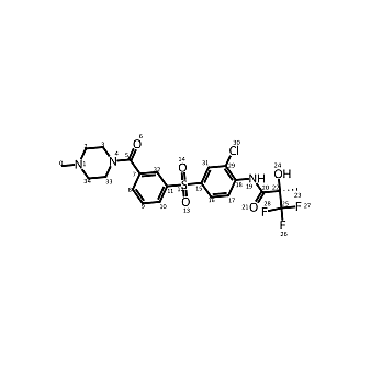 CN1CCN(C(=O)c2cccc(S(=O)(=O)c3ccc(NC(=O)[C@@](C)(O)C(F)(F)F)c(Cl)c3)c2)CC1